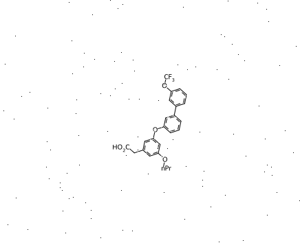 CCCOc1cc(CC(=O)O)cc(Oc2cccc(-c3cccc(OC(F)(F)F)c3)c2)c1